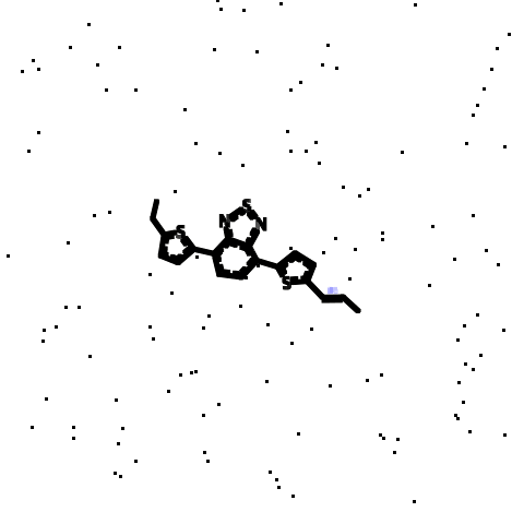 C/C=C/c1ccc(-c2ccc(-c3ccc(CC)s3)c3nsnc23)s1